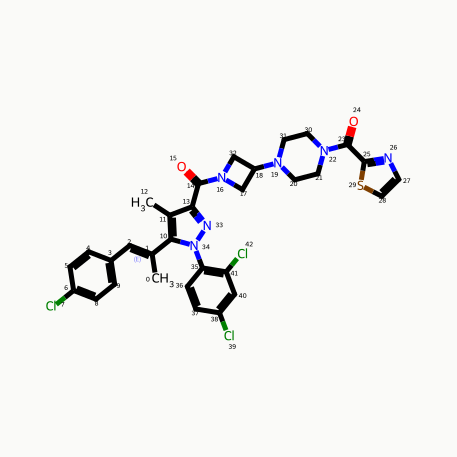 C/C(=C\c1ccc(Cl)cc1)c1c(C)c(C(=O)N2CC(N3CCN(C(=O)c4nccs4)CC3)C2)nn1-c1ccc(Cl)cc1Cl